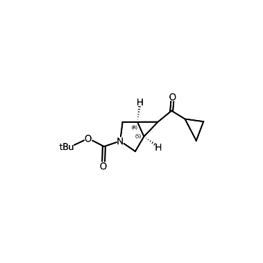 CC(C)(C)OC(=O)N1C[C@@H]2C(C(=O)C3CC3)[C@@H]2C1